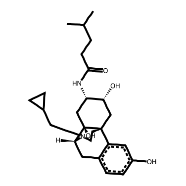 CC(C)CCC(=O)N[C@H]1C[C@@]2(O)[C@H]3Cc4ccc(O)cc4[C@@]2(CCN3CC2CC2)C[C@H]1O